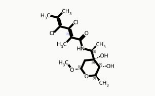 CO[C@@H]1C[C@@](O)([C@H](C)NC(=O)/C(C)=C(\Cl)C(Cl)=C(C)C)[C@H](O)[C@@H](C)O1